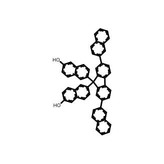 Oc1ccc2cc(C3(c4ccc5cc(O)ccc5c4)c4cc(-c5ccc6ccccc6c5)ccc4-c4ccc(-c5ccc6ccccc6c5)cc43)ccc2c1